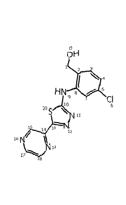 OCc1ccc(Cl)cc1Nc1nnc(-c2cnccn2)s1